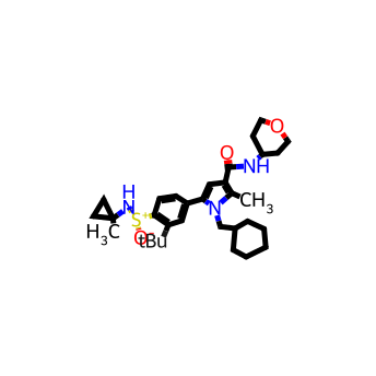 Cc1c(C(=O)NC2CCOCC2)cc(-c2ccc([S+]([O-])NC3(C)CC3)c(C(C)(C)C)c2)n1CC1CCCCC1